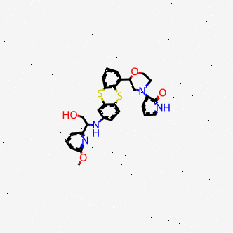 COc1cccc(C(CO)Nc2ccc3c(c2)Sc2cccc(C4CN(c5ccc[nH]c5=O)CCO4)c2S3)n1